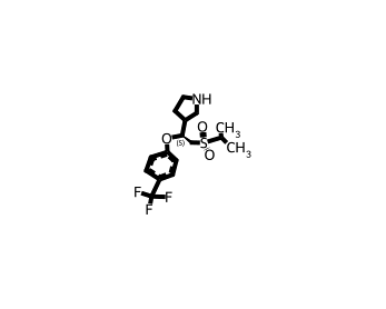 CC(C)S(=O)(=O)C[C@@H](Oc1ccc(C(F)(F)F)cc1)C1CCNC1